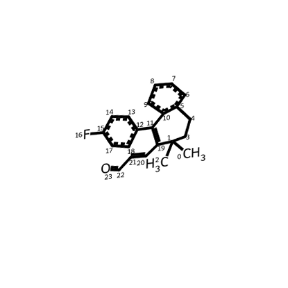 CC1(C)CCc2ccccc2C(c2ccc(F)cc2)=C1/C=C/C=O